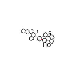 C=Cc1c(C=C)c(-c2cccc(-c3ccc4sc5ccc6ccc(O)c(-c7ccccc7)c6c5c4c3)c2)c2ccccc2c1C1=CC=C2C=CC=CC2C1